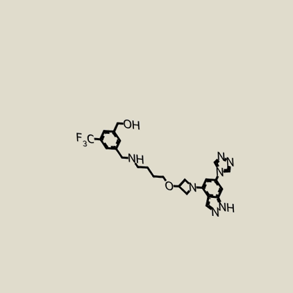 OCc1cc(CNCCCCOC2CN(c3cc(-n4cnnc4)cc4[nH]ncc34)C2)cc(C(F)(F)F)c1